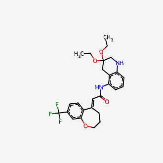 CCOC1(OCC)CNc2cccc(NC(=O)/C=C3\CCCOc4cc(C(F)(F)F)ccc43)c2C1